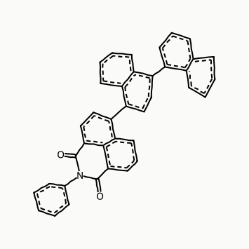 O=C1c2cccc3c(-c4ccc(-c5cccc6ccccc56)c5ccccc45)ccc(c23)C(=O)N1c1ccccc1